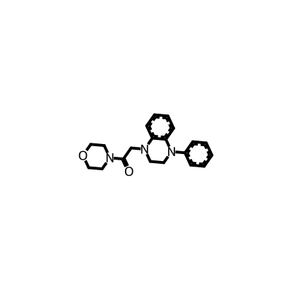 O=C(CN1CCN(c2ccccc2)c2ccccc21)N1CCOCC1